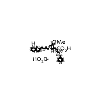 CC(=O)O.COC[C@@H](F)CN(CCCCc1ccc2c(n1)NCCC2)CC[C@H](NC(=O)OCc1ccccc1)C(=O)O